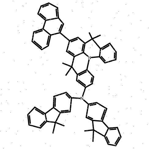 CC1(C)c2ccccc2-c2ccc(N(c3ccc4c(c3)C(C)(C)c3ccccc3-4)c3ccc4c(c3)C(C)(C)c3cc(-c5cc6ccccc6c6ccccc56)cc5c3N4c3ccccc3C5(C)C)cc21